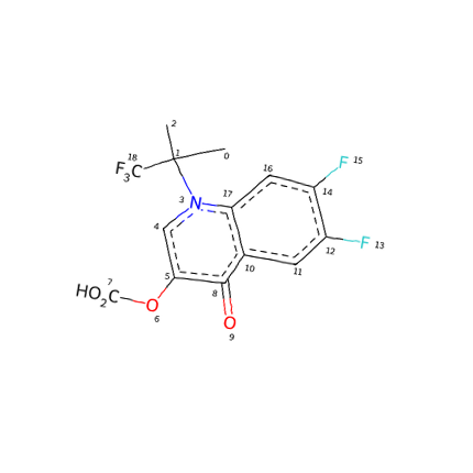 CC(C)(n1cc(OC(=O)O)c(=O)c2cc(F)c(F)cc21)C(F)(F)F